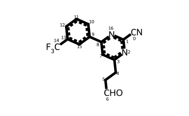 N#Cc1nc(CCC=O)cc(-c2cccc(C(F)(F)F)c2)n1